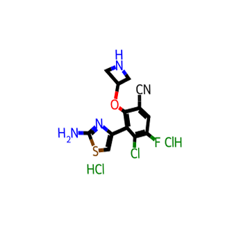 Cl.Cl.N#Cc1cc(F)c(Cl)c(-c2csc(N)n2)c1OC1CNC1